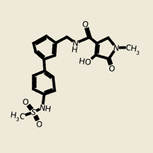 CN1CC(C(=O)NCc2cccc(-c3ccc(NS(C)(=O)=O)cc3)c2)=C(O)C1=O